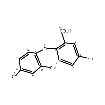 O=C(O)c1cc(F)cnc1Oc1ccc(Cl)cc1Cl